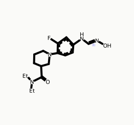 CCN(CC)C(=O)C1CCCN(c2ccc(N/C=N/O)cc2F)C1